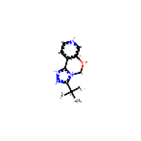 CC(C)(C)c1nnc2n1COc1cnccc1-2